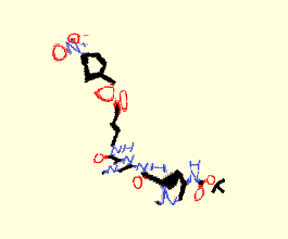 Cn1cc(NC(=O)OC(C)(C)C)cc1C(=O)Nc1cn(C)c(C(=O)NCCCC(=O)OCc2ccc([N+](=O)[O-])cc2)n1